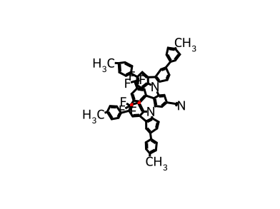 Cc1ccc(-c2ccc3c(c2)c2cc(-c4ccc(C)cc4)ccc2n3-c2cc(C#N)cc(-n3c4ccc(-c5ccc(C)cc5)cc4c4cc(-c5ccc(C)cc5)ccc43)c2-c2cc(C(F)(F)F)cc(C(F)(F)F)c2)cc1